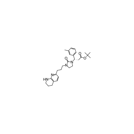 Cc1cccc([C@H](CC(=O)OC(C)(C)C)N2CCN(CCCc3ccc4c(n3)NCCC4)C2=O)c1